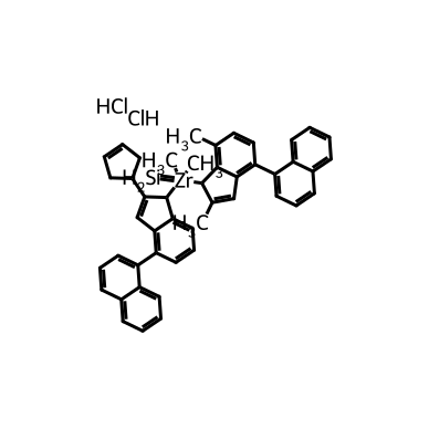 CC1=Cc2c(-c3cccc4ccccc34)ccc(C)c2[CH]1[Zr]([CH3])([CH3])(=[SiH2])[CH]1C(C2CC=CC2)=Cc2c(-c3cccc4ccccc34)cccc21.Cl.Cl